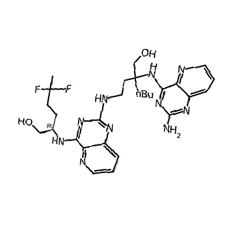 CCCCC(CO)(CCNc1nc(N[C@@H](CO)CCC(C)(F)F)c2ncccc2n1)Nc1nc(N)nc2cccnc12